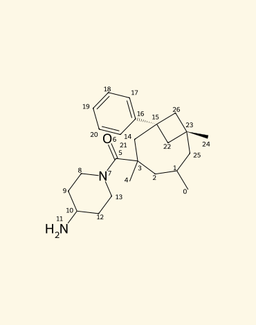 CC1CC(C)(C(=O)N2CCC(N)CC2)C[C@]2(c3ccccc3)C[C@@](C)(C1)C2